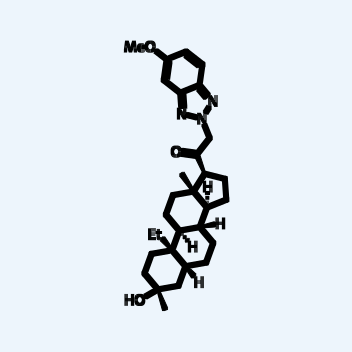 CC[C@]12CC[C@@](C)(O)C[C@H]1CC[C@H]1[C@@H]3CC[C@H](C(=O)Cn4nc5ccc(OC)cc5n4)[C@@]3(C)CC[C@@H]12